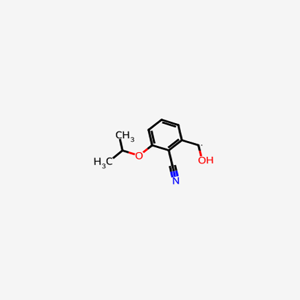 CC(C)Oc1cccc([CH]O)c1C#N